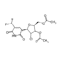 CC(=O)OC[C@@H]1O[C@H](n2cc(C(F)F)c(=O)[nH]c2=O)C(Cl)C1OC(C)=O